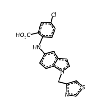 O=C(O)c1cc(Cl)ccc1Nc1ccc2c(ccn2Cc2cscn2)c1